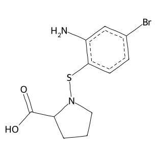 Nc1cc(Br)ccc1SN1CCCC1C(=O)O